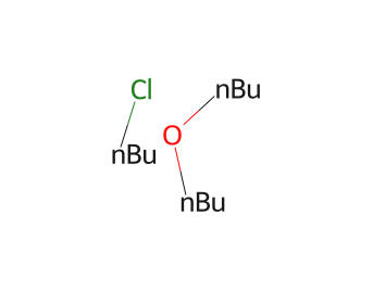 CCCCCl.CCCCOCCCC